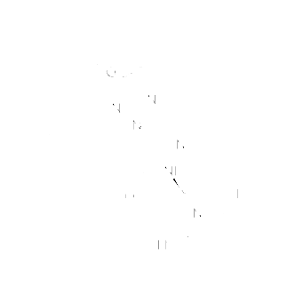 CC(=O)N1CCN(CCN2[C@@H]3CC[C@H]2C[C@@H](NC(=O)c2nn(C4CCCC4)c4ccccc24)C3)CC1